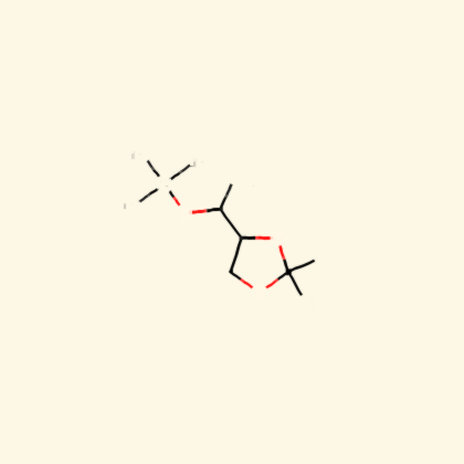 CC(C)[Si](OC(C(=O)O)C1COC(C)(C)O1)(C(C)C)C(C)C